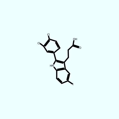 O=C(O)CCc1c(-c2ccc(Cl)c(Cl)c2)[nH]c2ccc(I)cc12